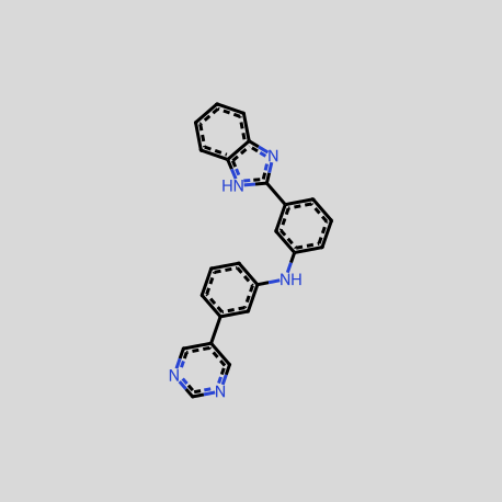 c1cc(Nc2cccc(-c3nc4ccccc4[nH]3)c2)cc(-c2cncnc2)c1